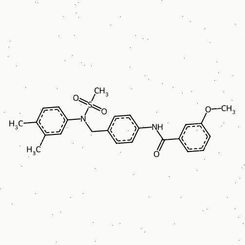 COc1cccc(C(=O)Nc2ccc(CN(c3ccc(C)c(C)c3)S(C)(=O)=O)cc2)c1